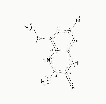 COc1cc(Br)cc2[nH]c(=O)c(C)nc12